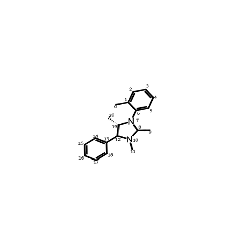 Cc1ccccc1N1C(C)N(C)C(c2ccccc2)[C@@H]1C